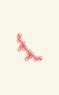 C=CC(=O)OCCOC(=O)C1CCC(C(=O)Oc2ccc(OC(=O)C3CCC(C(=O)Oc4ccc(OC(=O)C5CCC(C(=O)OCCOC(=O)C=C)CC5)c(C(=O)OCCOCC)c4)CC3)cc2C(=O)OCCOCC)CC1